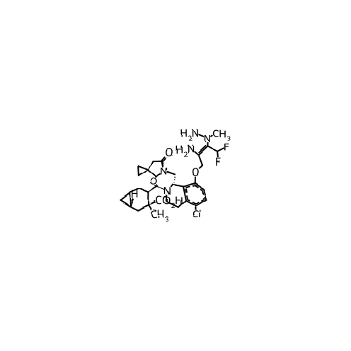 CN(N)/C(=C(\N)COc1ccc(Cl)c2c1[C@@H](CN1CC3(CC3)CC1=O)N(C(=O)[C@@H]1CC3C[C@H]3C[C@]1(C)C(=O)O)CC2)C(F)F